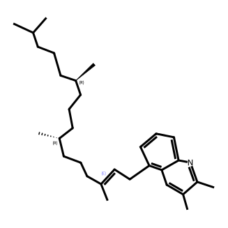 C/C(=C\Cc1cccc2nc(C)c(C)cc12)CCC[C@H](C)CCC[C@H](C)CCCC(C)C